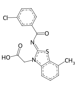 Cc1cccc2c1sc(=NC(=O)c1cccc(Cl)c1)n2CC(=O)O